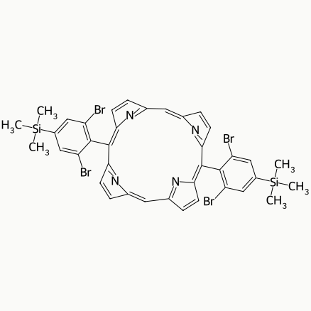 C[Si](C)(C)c1cc(Br)c(C2=C3C=CC(=N3)C=C3C=CC(=N3)C(c3c(Br)cc([Si](C)(C)C)cc3Br)=C3C=CC(=N3)C=C3C=CC2=N3)c(Br)c1